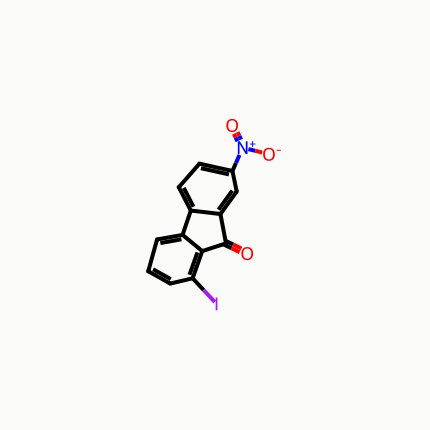 O=C1c2cc([N+](=O)[O-])ccc2-c2cccc(I)c21